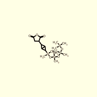 C[Si](C)(C)O[Si](C)(C)O[Si](C)(C)O[Si](C)(C)C1C2C(C3CC(=O)OC3=O)C21